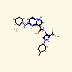 CC1CCC(n2cc(NC(=O)c3cnn4ccc(N[C@@H]5CCCC[C@H]5O)nc34)c(C(F)F)n2)CC1